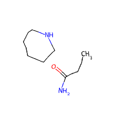 C1CCNCC1.CCC(N)=O